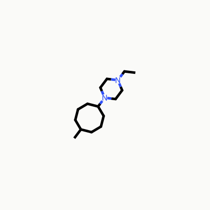 CCN1CCN(C2CCCC(C)CCC2)CC1